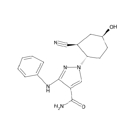 N#C[C@H]1C[C@@H](O)CC[C@@H]1n1cc(C(N)=O)c(Nc2ccccc2)n1